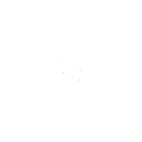 [Ag].[Ag].[Ag][I]